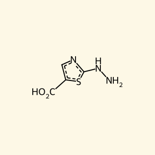 NNc1ncc(C(=O)O)s1